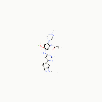 C=CC(=O)Nc1cc(Nc2cc(-c3ccc4cnn(C)c4c3)ncn2)c(OC(F)F)cc1N1CCN(C)CC1